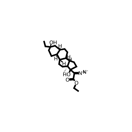 CCOC(=O)C(=[N+]=[N-])C1(O)CC[C@H]2[C@@H]3CC[C@@H]4C[C@@](O)(CC)CC[C@@H]4[C@H]3CC[C@@]21C